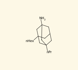 CCCCCCC12CC3CC(N)(CC(CCC)(C3)C1)C2